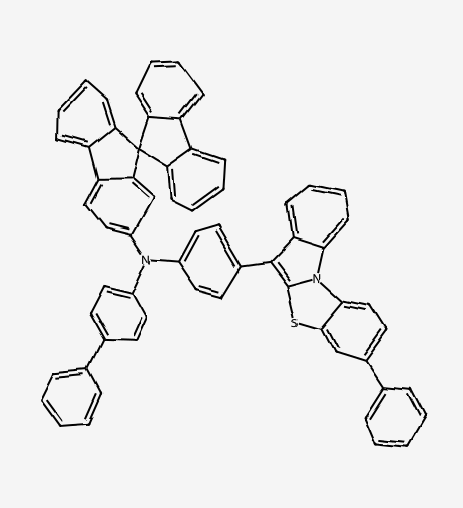 c1ccc(-c2ccc(N(c3ccc(-c4c5ccccc5n5c4sc4cc(-c6ccccc6)ccc45)cc3)c3ccc4c(c3)C3(c5ccccc5-c5ccccc53)c3ccccc3-4)cc2)cc1